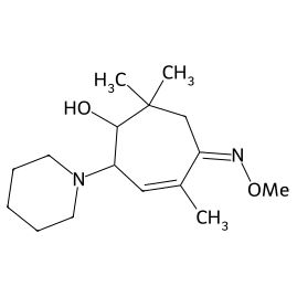 CON=C1CC(C)(C)C(O)C(N2CCCCC2)C=C1C